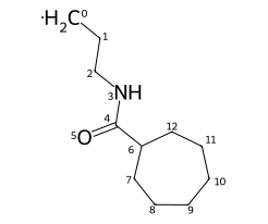 [CH2]CCNC(=O)C1CCCCCC1